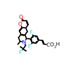 CC1CC2=C(CC3C=CC(=O)OC3=C2)C(c2c(F)cc(/C=C/C(=O)O)cc2F)N1CC(C)(C)F